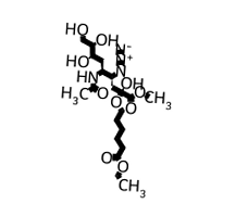 CCOC(=O)CCCCCO[C@@](O)(C[C@@H](N=[N+]=[N-])[C@H](C[C@H](O)[C@H](O)CO)NC(C)=O)C(=O)OC